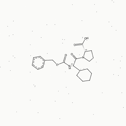 O=C(N[C@H](C(=O)N1CCC[C@H]1C(=O)O)C1CCCCC1)OCc1ccccc1